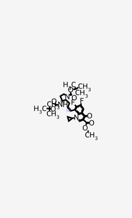 CCOC(=O)c1cn(C2CC2)c2c(/C=C\CC3[C@H](NC(=O)OC(C)(C)C)CCN3C(=O)OC(C)(C)C)c(F)c(F)cc2c1=O